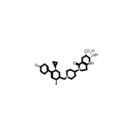 CCC[C@@H]1NC2=C(C[C@@H]1C(=O)O)C(=O)N(C1CCN(CC3C[C@H](C4CC4)C(C4=CC[C@H](F)CC4)=C[C@@H]3C)CC1)CC2